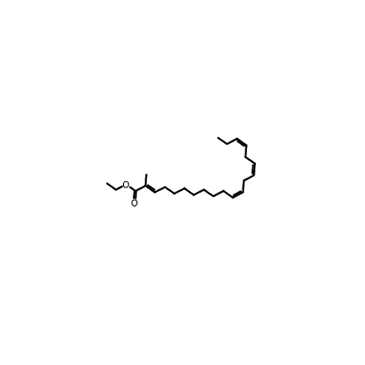 CC/C=C\C/C=C\C/C=C\CCCCCCC/C=C(\C)C(=O)OCC